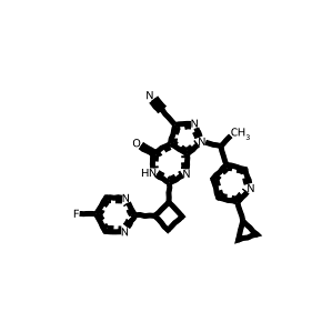 CC(c1ccc(C2CC2)nc1)n1nc(C#N)c2c(=O)[nH]c(C3CCC3c3ncc(F)cn3)nc21